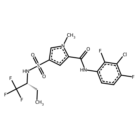 CC[C@@H](NS(=O)(=O)c1cc(C(=O)Nc2ccc(F)c(Cl)c2F)n(C)c1)C(F)(F)F